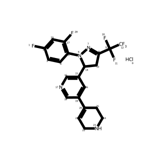 Cl.Fc1ccc(N2N=C(C(F)(F)C(F)(F)F)CC2c2cncc(C3=CCNCC3)c2)c(F)c1